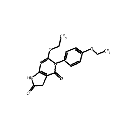 O=C1Cc2c(nc(SCC(F)(F)F)n(-c3ccc(OCC(F)(F)F)cc3)c2=O)N1